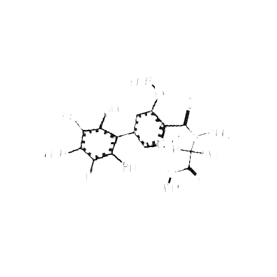 BOC(=O)C(B)(B)N(B)C(=O)c1ncc(-c2c(B)c(B)c(B)c(F)c2B)cc1OB